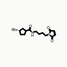 CC(C)(C)[C@H]1CCC(C(=O)NCCCCN2C(=O)C=CC2=O)C1